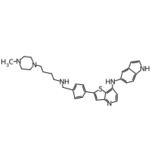 CN1CCN(CCCCNCc2ccc(-c3cc4nccc(Nc5ccc6[nH]ccc6c5)c4s3)cc2)CC1